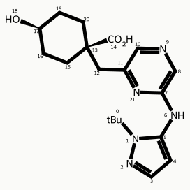 CC(C)(C)n1nccc1Nc1cncc(C[C@]2(C(=O)O)CC[C@@H](O)CC2)n1